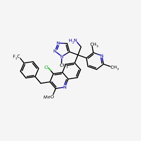 COc1nc2ccc(C(CN)(c3ccc(C)nc3C)c3cnnn3C)cc2c(Cl)c1Cc1ccc(C(F)(F)F)cc1